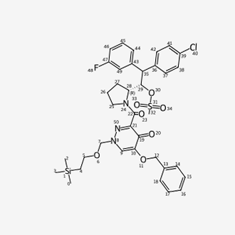 C[Si](C)(C)CCOCn1cc(OCc2ccccc2)c(=O)c(C(=O)N2CCC[C@@H]2C(OS(C)(=O)=O)C(c2ccc(Cl)cc2)c2cccc(F)c2)n1